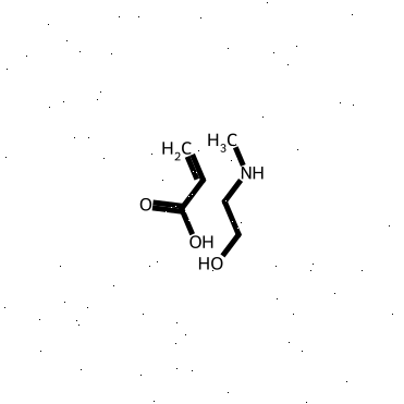 C=CC(=O)O.CNCCO